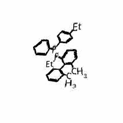 CCc1ccc([P@@](c2ccccc2)P(CC)c2cccc(C)c2-c2[c]cccc2C)cc1